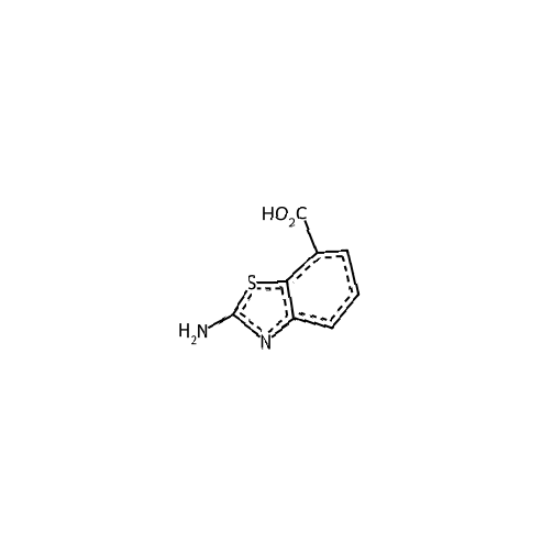 Nc1nc2cccc(C(=O)O)c2s1